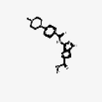 CC(C)NC(=O)c1cc2[nH]nc(NC(=O)c3ccc(N4CCN(C)CC4)cc3)c2s1